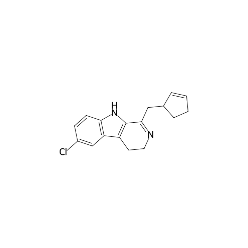 Clc1ccc2[nH]c3c(c2c1)CCN=C3CC1C=CCC1